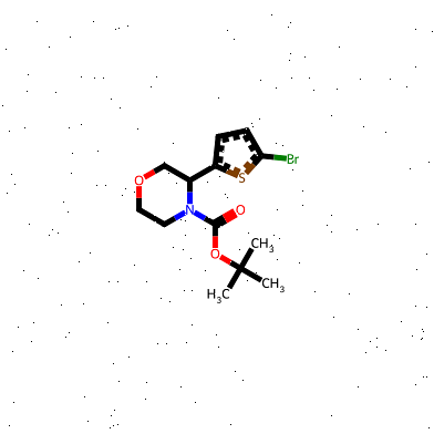 CC(C)(C)OC(=O)N1CCOCC1c1ccc(Br)s1